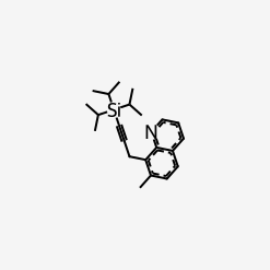 Cc1ccc2cccnc2c1CC#C[Si](C(C)C)(C(C)C)C(C)C